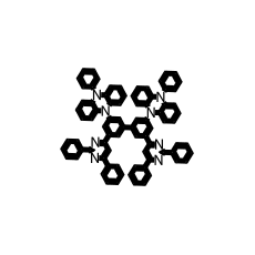 c1ccc(-c2cc(-c3cc(-c4cc(-c5cc(-c6ccccc6)nc(-c6ccccc6)n5)cc(N5c6ccccc6N(c6ccccc6)c6ccccc65)c4)cc(N4c5ccccc5N(c5ccccc5)c5ccccc54)c3)nc(-c3ccccc3)n2)cc1